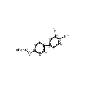 CCCCCOc1ccc(-c2cnc(F)c(F)c2)cc1